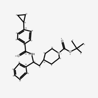 CC(C)(C)OC(=O)N1CCC(CC(NC(=O)c2ccc(C3CC3)cc2)c2ccccc2)CC1